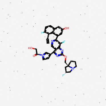 C#Cc1c(F)ccc2cc(O)cc(-c3ncc4c(-c5ccn(C(=O)CO)c5)nc(OC[C@@]56CCCN5C[C@H](F)C6)nc4c3F)c12